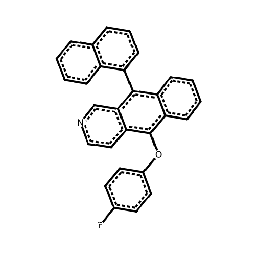 Fc1ccc(Oc2c3ccccc3c(-c3cccc4ccccc34)c3cnccc23)cc1